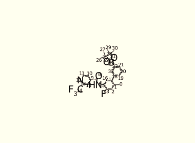 Cc1cc(F)c(NC(=O)c2ccnc(C(F)(F)F)c2)cc1-c1cccc(B2OC(C)(C)C(C)(C)O2)c1